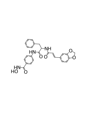 O=C(C=Cc1ccc2c(c1)OCO2)NC(Cc1ccccc1)C(=O)Nc1ccc(C(=O)NO)cc1